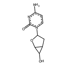 Nc1ccn(C2CC3C(O)C3O2)c(=O)n1